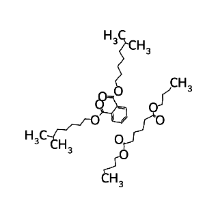 CC(C)CCCCCOC(=O)c1ccccc1C(=O)OCCCCCC(C)C.CCCCOC(=O)CCCCC(=O)OCCCC